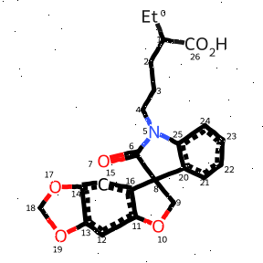 CCC(CCCN1C(=O)C2(COc3cc4c(cc32)OCO4)c2ccccc21)C(=O)O